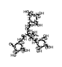 CNCC(=O)NCC(CNC(=O)CNC(=O)CN1CCN(CC=O)CCN(CC(=O)O)CCN(CC(=O)O)CC1)(CNC(=O)CNC(=O)CN1CCN(CC(=O)O)CCN(CC(=O)O)CCN(CC(=O)O)CC1)CNC(=O)CNC(=O)CN1CCN(CC(=O)O)CCN(CC(=O)O)CCN(CC(=O)O)CC1